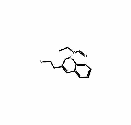 BrCCC1=Cc2ccccc2OC1.CCOC=O